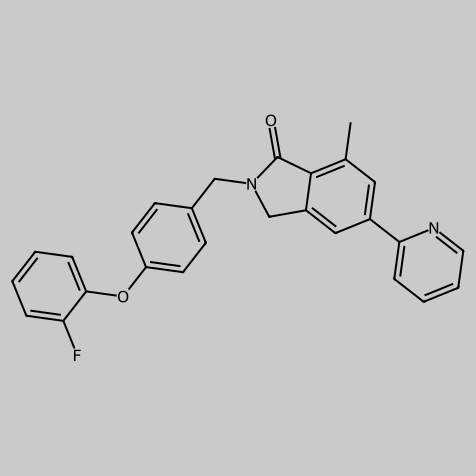 Cc1cc(-c2ccccn2)cc2c1C(=O)N(Cc1ccc(Oc3ccccc3F)cc1)C2